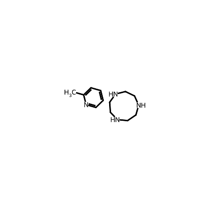 C1CNCCNCCN1.Cc1ccccn1